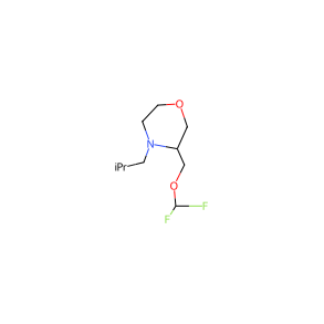 CC(C)CN1CCOCC1COC(F)F